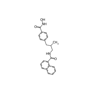 CC(CNC(=O)c1cccc2ccccc12)Cc1ccc(C(=O)NO)cc1